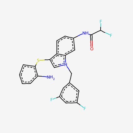 Nc1ccccc1Sc1cn(Cc2cc(F)cc(F)c2)c2cc(NC(=O)C(F)F)ccc12